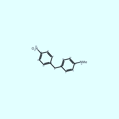 CNc1ccc(Cc2ccc([N+](=O)[O-])cc2)cc1